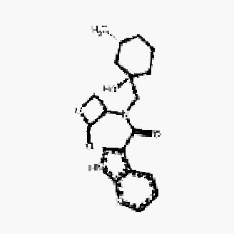 C[C@@H]1CCC[C@](O)(CN(C(=O)c2c[nH]c3ncccc23)C2COC2Cl)C1